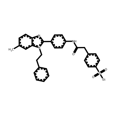 CCS(=O)(=O)c1ccc(CC(=O)Nc2ccc(-c3nc4ccc(C)cc4n3CCc3ccccc3)cc2)cc1